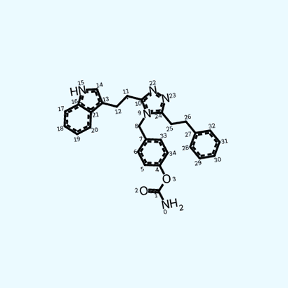 NC(=O)Oc1ccc(Cn2c([CH]Cc3c[nH]c4ccccc34)nnc2CCc2ccccc2)cc1